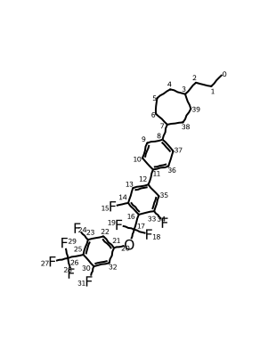 CCCC1CCCC(c2ccc(-c3cc(F)c(C(F)(F)Oc4cc(F)c(C(F)(F)F)c(F)c4)c(F)c3)cc2)CC1